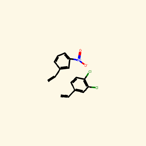 C=Cc1ccc(Cl)c(Cl)c1.C=Cc1cccc([N+](=O)[O-])c1